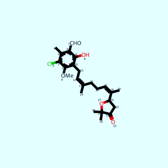 COc1c(Cl)c(C)c(C=O)c(O)c1CC=C(C)CCC=C(C)C1CC(=O)C(C)(C)O1